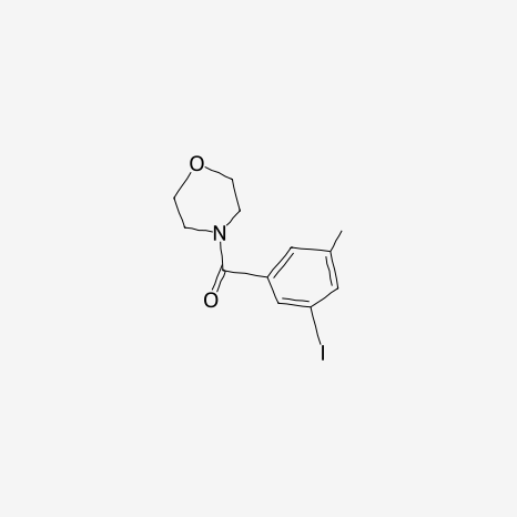 Cc1cc(I)cc(C(=O)N2CCOCC2)c1